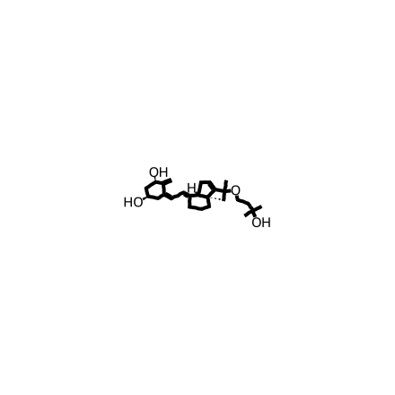 C=C1C(=CC=C2CCC[C@]3(C)C(C(C)(C)OCCC(C)(C)O)=CC[C@@H]23)C[C@@H](O)C[C@@H]1O